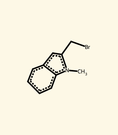 Cn1c(CBr)cc2ccccc21